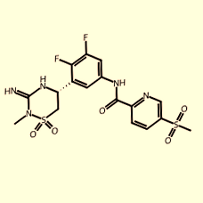 CN1C(=N)N[C@H](c2cc(NC(=O)c3ccc(S(C)(=O)=O)cn3)cc(F)c2F)CS1(=O)=O